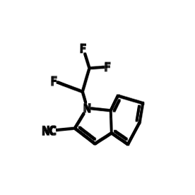 N#Cc1cc2ccccc2n1C(F)C(F)F